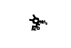 CC(=O)CC(=O)C1(C)C=C(C)C(C)=CC1N